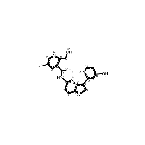 CC(Nc1ccc2ncc(-c3cc(O)ccn3)n2n1)c1cc(F)cnc1CO